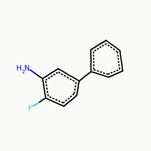 Nc1cc(-c2ccccc2)ccc1F